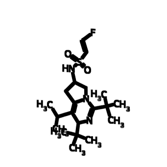 CC(C)C1=C2CC(NS(=O)(=O)/C=C/F)CN2C(C(C)(C)C)=NC1C(C)(C)C